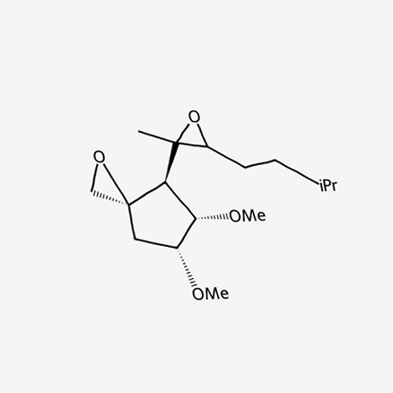 CO[C@H]1[C@H](C2(C)OC2CCC(C)C)[C@@]2(CO2)C[C@H]1OC